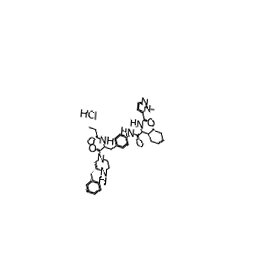 CCC(=O)NC(Cc1ccc(NC(=O)C(NC(=O)c2ccnn2C)C2CCCCC2)cc1)C(=O)N1CCN[C@H](Cc2ccccc2)C1.Cl